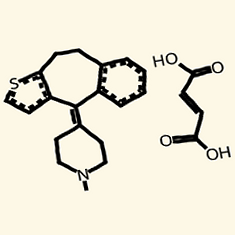 CN1CCC(=C2c3ccccc3CCc3sccc32)CC1.O=C(O)C=CC(=O)O